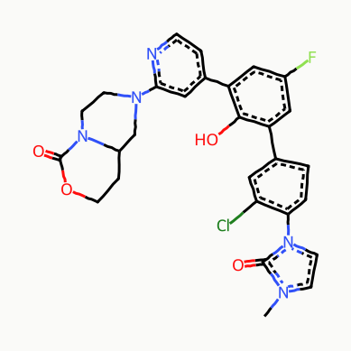 Cn1ccn(-c2ccc(-c3cc(F)cc(-c4ccnc(N5CCN6C(=O)OCCC6C5)c4)c3O)cc2Cl)c1=O